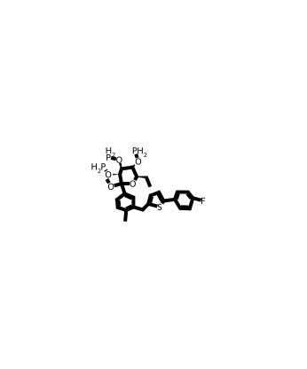 CC[C@H]1OC(OC)(c2ccc(C)c(Cc3ccc(-c4ccc(F)cc4)s3)c2)[C@H](OP)[C@@H](OP)[C@@H]1OP